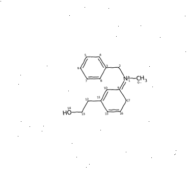 C[N+](Cc1ccccc1)=C1C=C(CCO)C=CC1